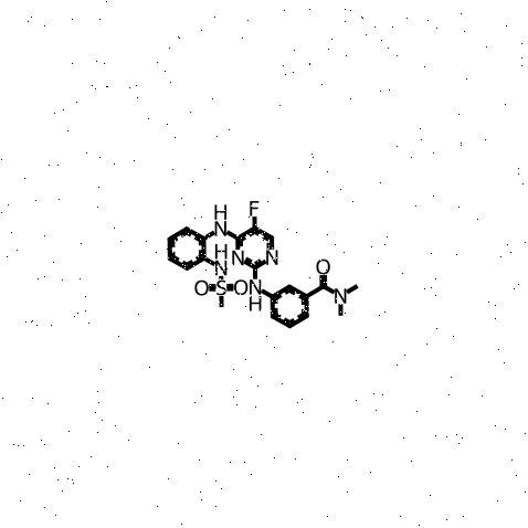 CN(C)C(=O)c1cccc(Nc2ncc(F)c(Nc3ccccc3NS(C)(=O)=O)n2)c1